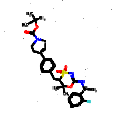 C[C@H](NC1=NS(=O)(=O)C(Cc2ccc(C3=CCN(C(=O)OC(C)(C)C)CC3)cc2)C(C)(C)O1)c1ccccc1F